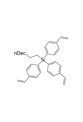 C=Cc1ccc([Si](CCCCCCCCCCCC)(c2ccc(C=C)cc2)c2ccc(C=C)cc2)cc1